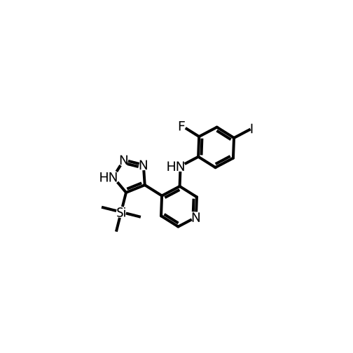 C[Si](C)(C)c1[nH]nnc1-c1ccncc1Nc1ccc(I)cc1F